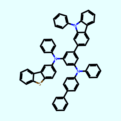 c1ccc(-c2ccc(N(c3ccccc3)c3cc(-c4ccc5c6ccccc6n(-c6ccccc6)c5c4)cc(N(c4ccccc4)c4ccc5sc6ccccc6c5c4)c3)cc2)cc1